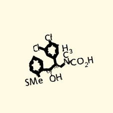 CSc1ccccc1[C@@H](O)[C@H](CN(C)C(=O)O)c1ccc(Cl)c(Cl)c1